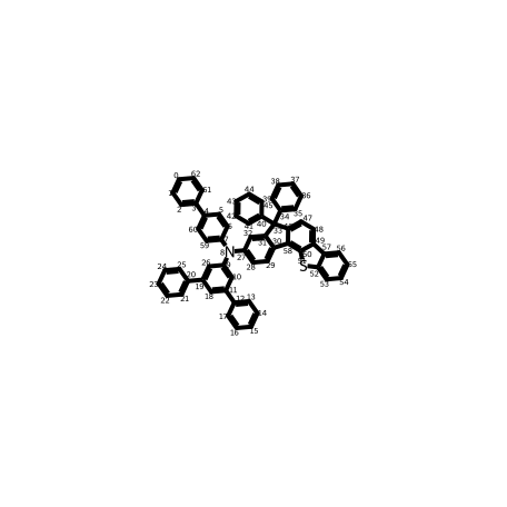 c1ccc(-c2ccc(N(c3cc(-c4ccccc4)cc(-c4ccccc4)c3)c3ccc4c(c3)C(c3ccccc3)(c3ccccc3)c3ccc5c(sc6ccccc65)c3-4)cc2)cc1